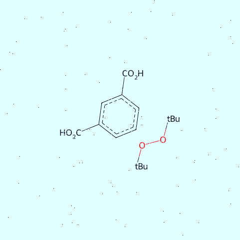 CC(C)(C)OOC(C)(C)C.O=C(O)c1cccc(C(=O)O)c1